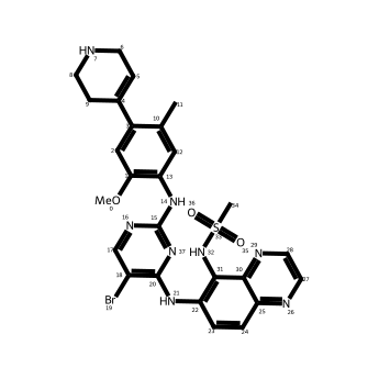 COc1cc(C2=CCNCC2)c(C)cc1Nc1ncc(Br)c(Nc2ccc3nccnc3c2NS(C)(=O)=O)n1